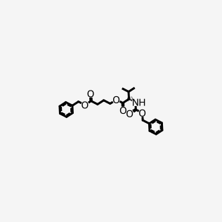 CC(C)[C@H](NC(=O)OCc1ccccc1)C(=O)OCCCC(=O)OCc1ccccc1